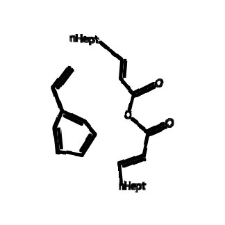 C=Cc1ccccc1.CCCCCCCC=CC(=O)OC(=O)C=CCCCCCCC